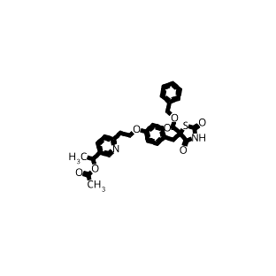 CC(=O)OC(C)c1ccc(CCOc2ccc(CC3(C(=O)OCc4ccccc4)SC(=O)NC3=O)cc2)nc1